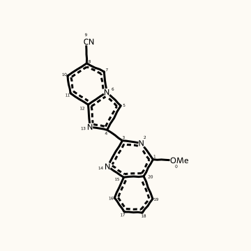 COc1nc(-c2cn3cc(C#N)ccc3n2)nc2ccccc12